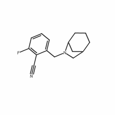 N#Cc1c(F)cccc1CN1CC2CCCC1C2